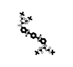 Cn1c(-c2ccc(-c3nc4cc(N/C(=N\C(=O)OC(C)(C)C)NC(=O)OC(C)(C)C)ccc4n3C)cc2)nc2cc(N/C(=N/C(=O)OC(C)(C)C)NC(=O)OC(C)(C)C)ccc21